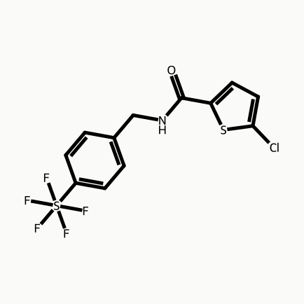 O=C(NCc1ccc(S(F)(F)(F)(F)F)cc1)c1ccc(Cl)s1